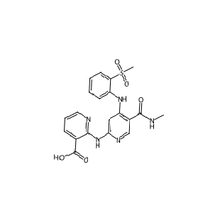 CNC(=O)c1cnc(Nc2ncccc2C(=O)O)cc1Nc1ccccc1S(C)(=O)=O